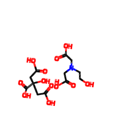 O=C(O)CC(O)(CC(=O)O)C(=O)O.O=C(O)CN(CCO)CC(=O)O